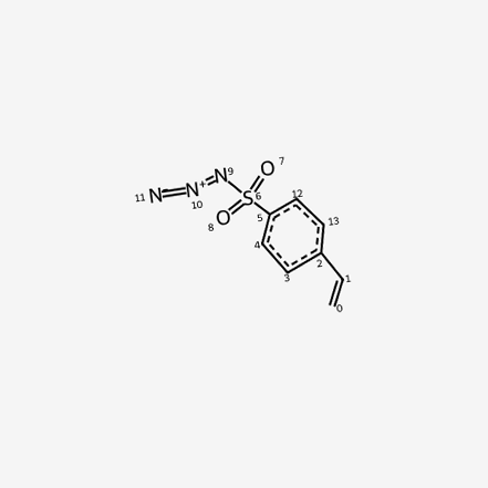 C=Cc1ccc(S(=O)(=O)N=[N+]=[N-])cc1